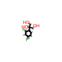 OCC(O)(CO)c1ccc(F)cc1F